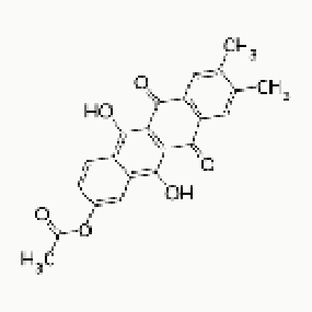 CC(=O)Oc1ccc2c(O)c3c(c(O)c2c1)C(=O)c1cc(C)c(C)cc1C3=O